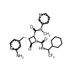 CN(C(=O)[C@@H]1[C@@H](Cc2ccnc(N)c2)C(=O)N1C(=O)NC(C1CCCCC1)C(F)(F)F)c1cccnc1